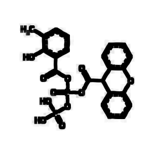 Cc1cccc(C(=O)OP(=O)(OC(=O)C2c3ccccc3Oc3ccccc32)OP(=O)(O)O)c1O